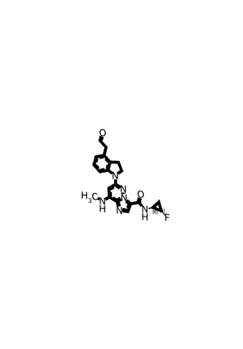 CNc1cc(N2CCc3c(CC=O)cccc32)nn2c(C(=O)N[C@@H]3C[C@@H]3F)cnc12